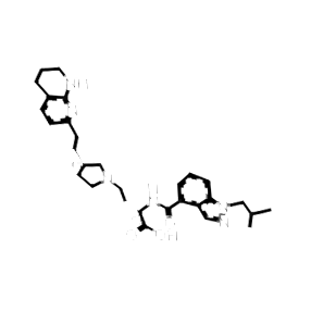 CC(C)Cn1ncc2c(C(=O)N[C@@H](CCN3CC[C@@H](CCc4ccc5c(n4)NCCC5)C3)C(=O)O)cccc21